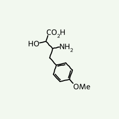 COc1ccc(CC(N)C(O)C(=O)O)cc1